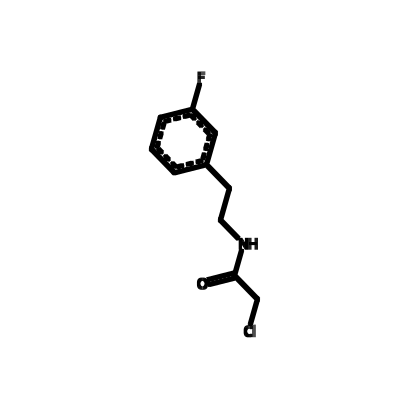 O=C(CCl)NCCc1cccc(F)c1